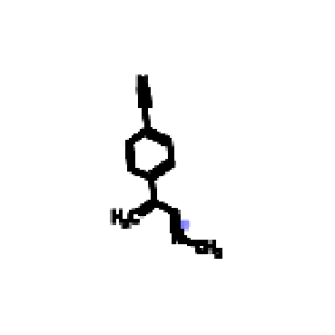 C=C(/C=N/C)c1ccc(C#N)cc1